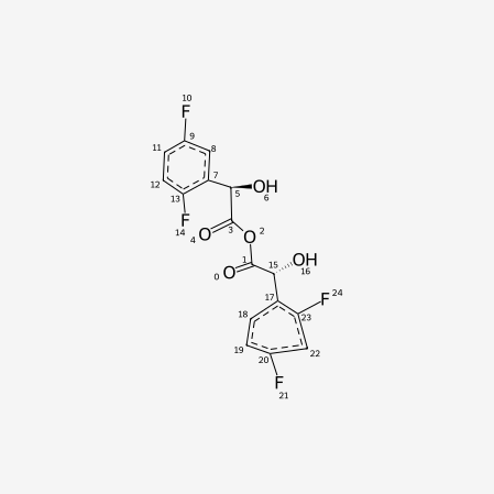 O=C(OC(=O)[C@H](O)c1cc(F)ccc1F)[C@H](O)c1ccc(F)cc1F